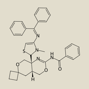 CN1C(N=C(c2ccccc2)c2ccccc2)=CSC1[C@]12COC3(CCC3)C[C@H]1COC(NC(=O)c1ccccc1)=N2